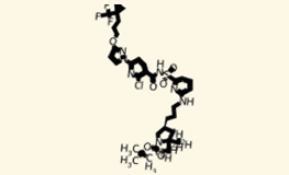 [2H]C([2H])([2H])C1(C([2H])([2H])[2H])C[C@H](CCCNc2cccc(S(=O)(=O)NC(=O)c3ccc(-n4ccc(OCCCC5(C(F)(F)F)CC5)n4)nc3Cl)n2)CN1C(=O)OC(C)(C)C